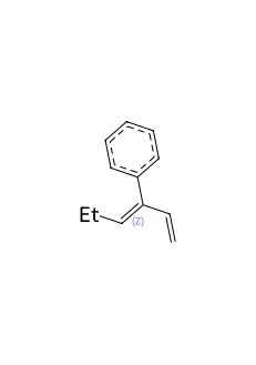 C=C/C(=C/CC)c1ccccc1